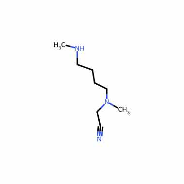 CNCCCCN(C)CC#N